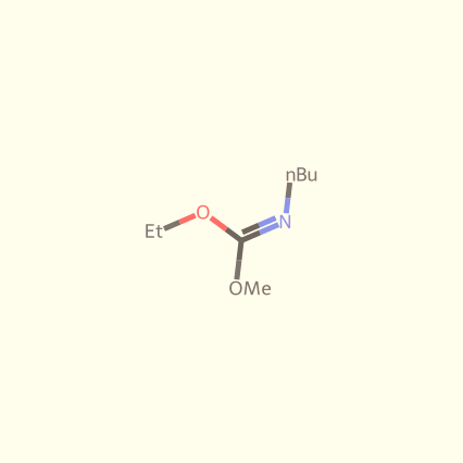 CCCCN=C(OC)OCC